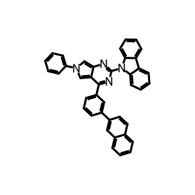 c1ccc(-n2cc3nc(-n4c5ccccc5c5ccccc54)nc(-c4cccc(-c5ccc6ccccc6c5)c4)c3c2)cc1